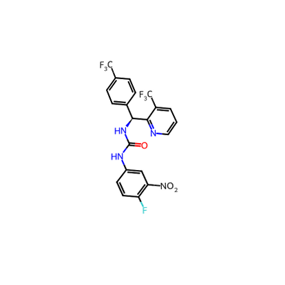 O=C(Nc1ccc(F)c([N+](=O)[O-])c1)N[C@@H](c1ccc(C(F)(F)F)cc1)c1ncccc1C(F)(F)F